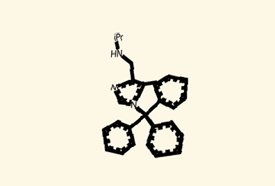 Cc1c(CNC(C)C)ncn1C(c1ccccc1)(c1ccccc1)c1ccccc1